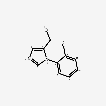 OCc1cncn1-c1ccccc1Cl